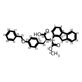 COC(=O)N(c1cccc2c1Cc1ccccc1-2)[C@@H](Cc1ccc(OCc2ccccc2)cc1)C(=O)O